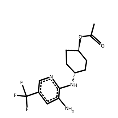 CC(=O)O[C@H]1CC[C@H](Nc2ncc(C(F)(F)F)cc2N)CC1